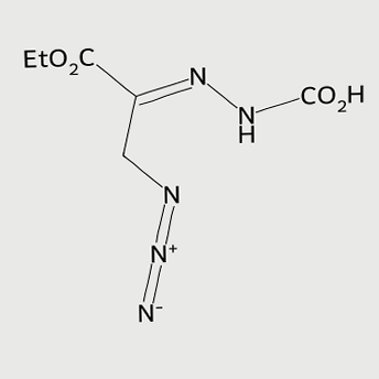 CCOC(=O)C(CN=[N+]=[N-])=NNC(=O)O